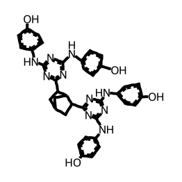 Oc1ccc(Nc2nc(Nc3ccc(O)cc3)nc(C3CC4CC(c5nc(Nc6ccc(O)cc6)nc(Nc6ccc(O)cc6)n5)C3C4)n2)cc1